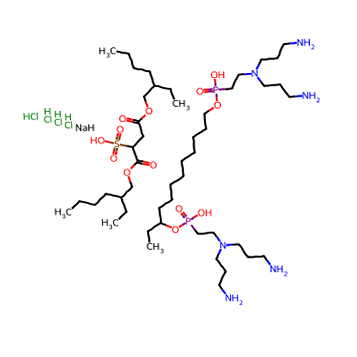 CCC(CCCCCCCCCOP(=O)(O)CCN(CCCN)CCCN)OP(=O)(O)CCN(CCCN)CCCN.CCCCC(CC)COC(=O)CC(C(=O)OCC(CC)CCCC)S(=O)(=O)O.Cl.Cl.Cl.Cl.[NaH]